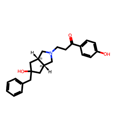 O=C(CCN1C[C@@H]2CC(O)(Cc3ccccc3)C[C@@H]2C1)c1ccc(O)cc1